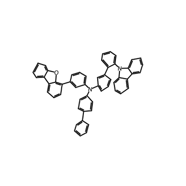 c1ccc(-c2ccc(N(c3cccc(-c4ccccc4-n4c5ccccc5c5ccccc54)c3)c3cccc(-c4cccc5c4oc4ccccc45)c3)cc2)cc1